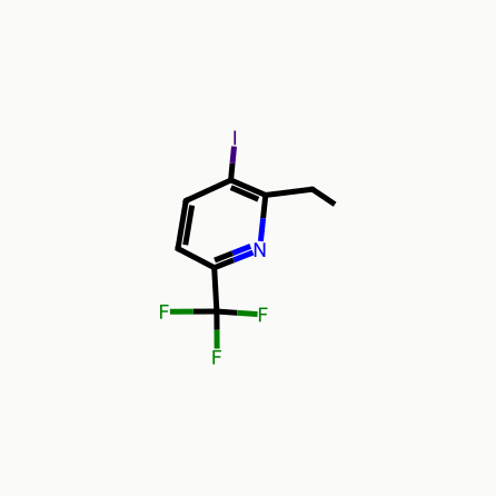 CCc1nc(C(F)(F)F)ccc1I